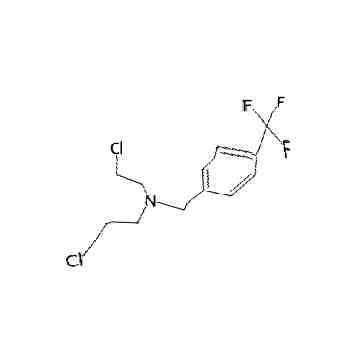 FC(F)(F)c1ccc(CN(CCCl)CCCl)cc1